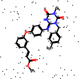 COC(=O)/C=C/c1cccc(Oc2ccc(/N=c3\[nH]c(=O)n(C)c(=O)n3Cc3ccc(C)cc3)cc2)c1